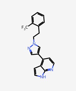 FC(F)(F)c1ccccc1CCn1cc(-c2ccnc3[nH]ccc23)cn1